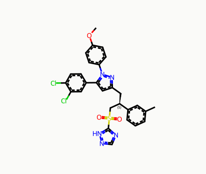 COc1ccc(-n2nc(C[C@H](CS(=O)(=O)c3ncn[nH]3)c3cccc(C)c3)cc2-c2ccc(Cl)c(Cl)c2)cc1